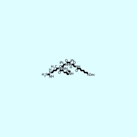 CCCCCCCCCCCCCCCC(=O)NCC(=O)N[C@H](C(=O)N[C@H](C(=O)N[C@@H](Cc1c[nH]cn1)C(=O)N[C@H](C)CCCNC(=N)N)C(C)C)C(C)C